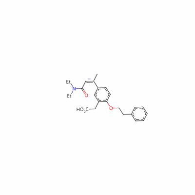 CCN(CC)C(=O)/C=C(/C)c1ccc(OCCc2ccccc2)c(CC(=O)O)c1